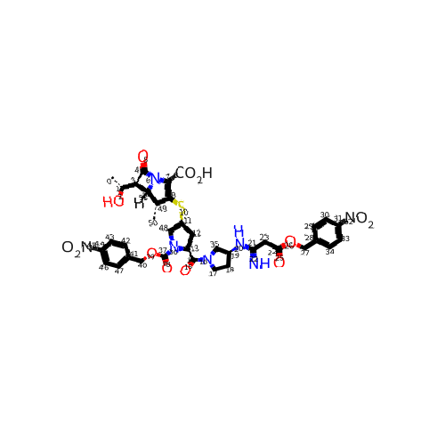 C[C@@H](O)[C@H]1C(=O)N2C(C(=O)O)=C(S[C@H]3C[C@@H](C(=O)N4CC[C@H](NC(=N)CC(=O)OCc5ccc([N+](=O)[O-])cc5)C4)N(C(=O)OCc4ccc([N+](=O)[O-])cc4)C3)[C@H](C)[C@H]12